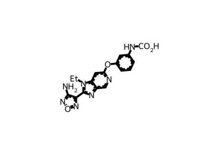 CCn1c(-c2nonc2N)nc2cnc(Oc3cccc(NC(=O)O)c3)cc21